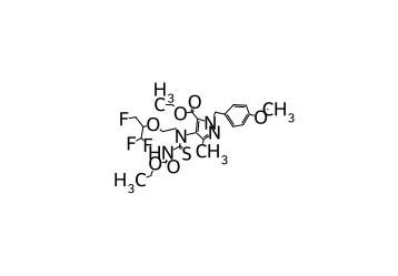 CCOC(=O)NC(=S)N(CCOC(CF)C(F)F)c1c(C)nn(Cc2ccc(OC)cc2)c1C(=O)OCC